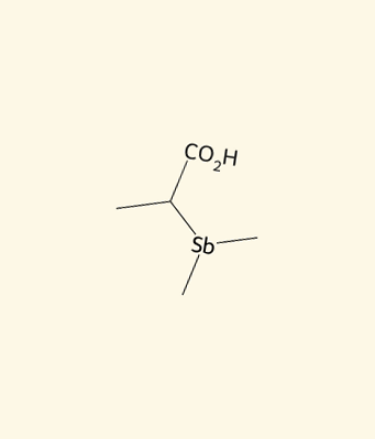 C[CH](C(=O)O)[Sb]([CH3])[CH3]